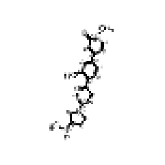 CC(C)NC1CCN(c2ncc(-c3ccc(-c4ccn(C)c(=O)c4)cc3O)nn2)C1